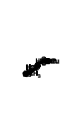 CC1(OC[C@H](O)CN2CCN(CCNS(=O)(=O)c3ccc(C(C)(C)C)cc3)CC2)Nc2ccccc2S1